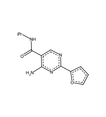 CC(C)NC(=O)c1cnc(-c2ccco2)nc1N